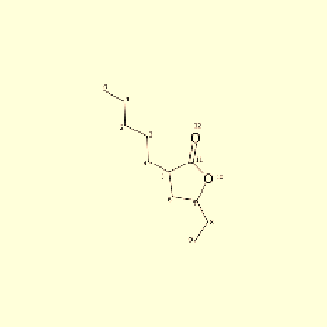 CCCCCC1CC(CC)OC1=O